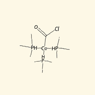 C[PH](C)(C)[Co]([C](=O)Cl)([PH](C)(C)C)[PH](C)(C)C